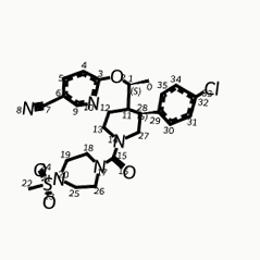 C[C@H](Oc1ccc(C#N)cn1)C1CCN(C(=O)N2CCN(S(C)(=O)=O)CC2)C[C@@H]1c1ccc(Cl)cc1